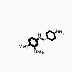 COc1ccc(NC[C@H]2CC[C@H](N)CC2)cc1OC